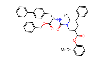 COc1ccccc1OC(=O)C(CCc1ccccc1)CN(CC(C)C)C(=O)N[C@@H](Cc1ccc(-c2ccccc2)cc1)C(=O)OCc1ccccc1